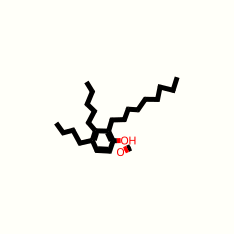 C=O.CCCCCCCCCc1c(O)ccc(CCCC)c1CCCCC